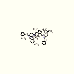 CC(C)=C1CCC(=C\Oc2ccccc2)/C(=N/c2ccc(C)c(C/C(C)=C3\CCC(=C\Oc4cccc(C)c4)/C(=N/c4ccc(C)cc4C)S3)c2C)S1